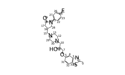 Cc1nc2cc(OC[C@H](O)CN3CCN(CC4CC(=O)N(c5ccc(F)cc5)C4)CC3)ccc2s1